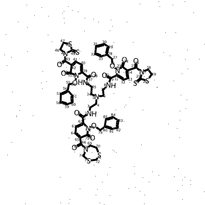 O=C(NCCN(CCNC(=O)c1ccc(C(=O)N2CCSC2=S)c(=O)n1OCc1ccccc1)CCNC(=O)c1ccc(C(=O)N2CCSC2=S)c(=O)n1OCc1ccccc1)c1ccc(C(=O)N2CCSCSC2)c(=O)n1OCc1ccccc1